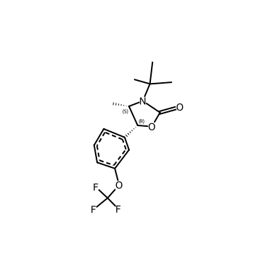 C[C@H]1[C@@H](c2cccc(OC(F)(F)F)c2)OC(=O)N1C(C)(C)C